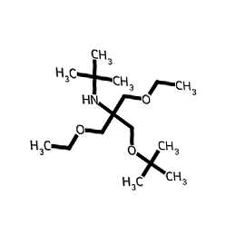 CCOCC(COCC)(COC(C)(C)C)NC(C)(C)C